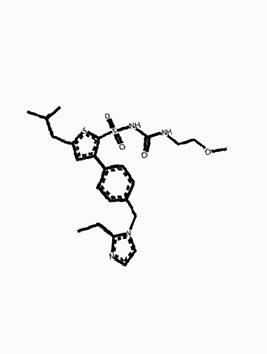 CCc1nccn1Cc1ccc(-c2cc(CC(C)C)sc2S(=O)(=O)NC(=O)NCCOC)cc1